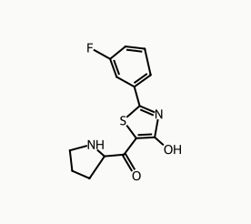 O=C(c1sc(-c2cccc(F)c2)nc1O)C1CCCN1